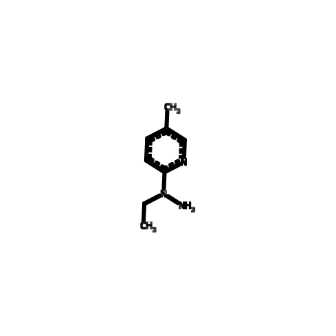 CCN(N)c1ccc(C)cn1